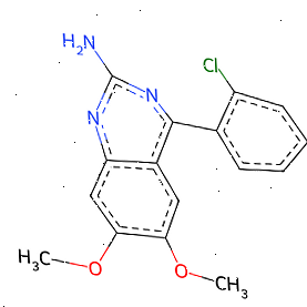 COc1cc2nc(N)nc(-c3ccccc3Cl)c2cc1OC